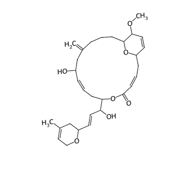 C=C1CCCC2OC(C=CC2OC)C/C=C\C(=O)OC(C(O)/C=C/C2CC(C)=CCO2)C/C=C\C(O)C1